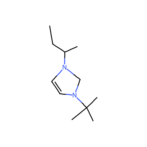 CCC(C)N1C=CN(C(C)(C)C)C1